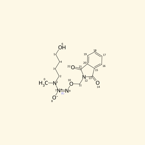 CN(CCCCO)/[N+]([O-])=N\OCN1C(=O)c2ccccc2C1=O